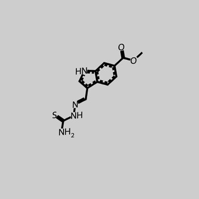 COC(=O)c1ccc2c(C=NNC(N)=S)c[nH]c2c1